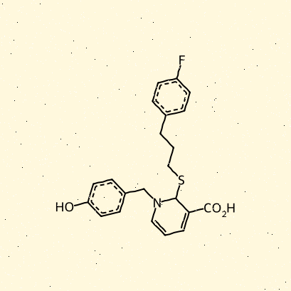 O=C(O)C1=CC=CN(Cc2ccc(O)cc2)C1SCCCc1ccc(F)cc1